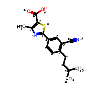 Cc1nc(-c2ccc(CCC(C)C)c(C#N)c2)sc1C(=O)O